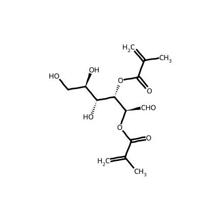 C=C(C)C(=O)O[C@@H]([C@H](O)[C@H](O)CO)[C@@H](C=O)OC(=O)C(=C)C